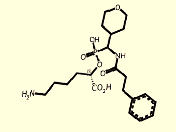 NCCCC[C@H](OP(=O)(O)C(NC(=O)CCc1ccccc1)C1CCOCC1)C(=O)O